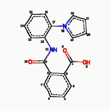 O=C(O)c1ccccc1C(=O)Nc1ccccc1-n1cccc1